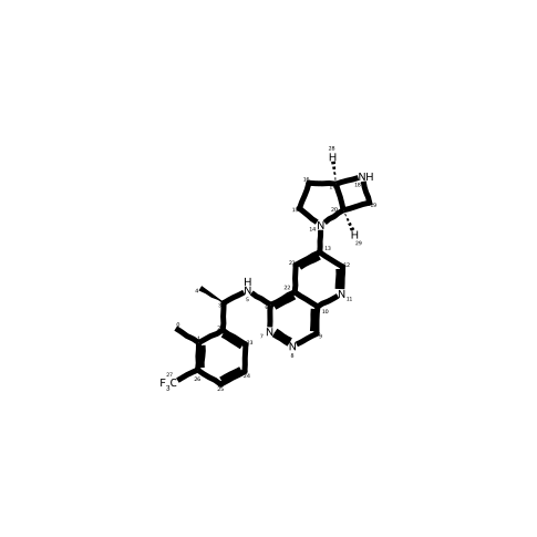 Cc1c([C@@H](C)Nc2nncc3ncc(N4CC[C@H]5NC[C@H]54)cc23)cccc1C(F)(F)F